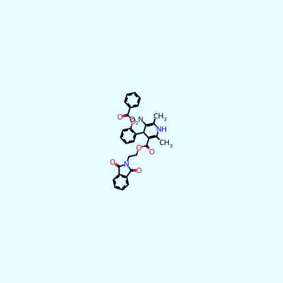 CC1=C(C(=O)OCCN2C(=O)c3ccccc3C2=O)C(c2ccccc2OC(=O)c2ccccc2)C([N+](=O)[O-])=C(C)N1